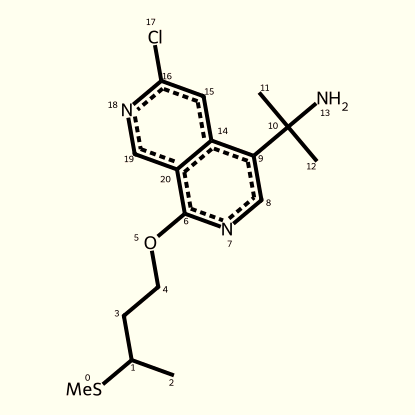 CSC(C)CCOc1ncc(C(C)(C)N)c2cc(Cl)ncc12